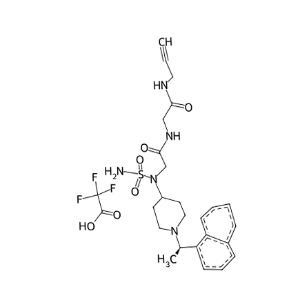 C#CCNC(=O)CNC(=O)CN(C1CCN([C@H](C)c2cccc3ccccc23)CC1)S(N)(=O)=O.O=C(O)C(F)(F)F